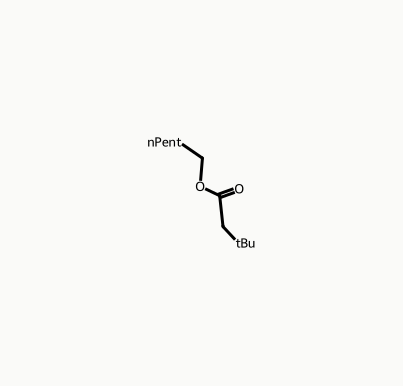 CCCCCCOC(=O)CC(C)(C)C